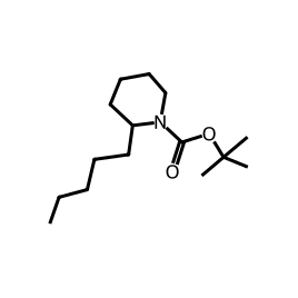 CCCCCC1CCCCN1C(=O)OC(C)(C)C